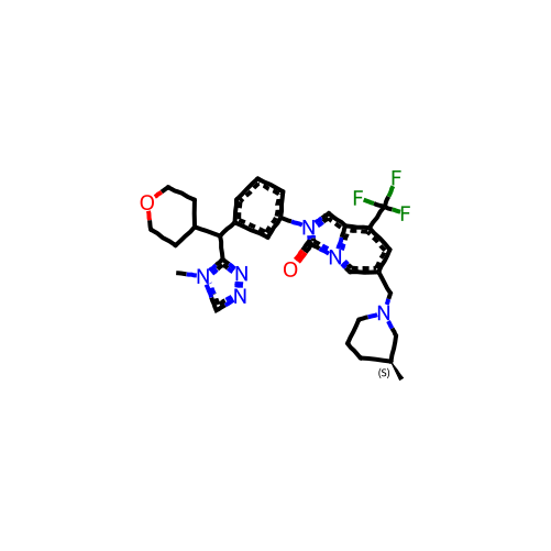 C[C@H]1CCCN(Cc2cc(C(F)(F)F)c3cn(-c4cccc(C(c5nncn5C)C5CCOCC5)c4)c(=O)n3c2)C1